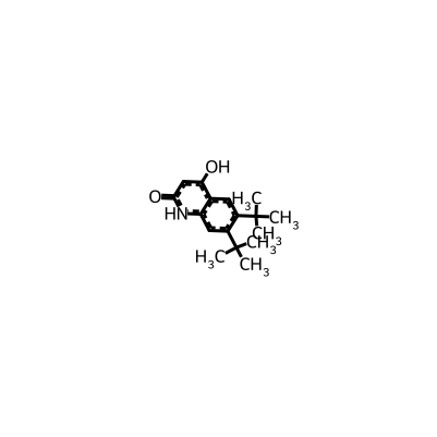 CC(C)(C)c1cc2[nH]c(=O)cc(O)c2cc1C(C)(C)C